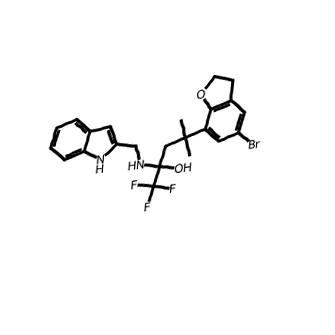 CC(C)(CC(O)(NCc1cc2ccccc2[nH]1)C(F)(F)F)c1cc(Br)cc2c1OCC2